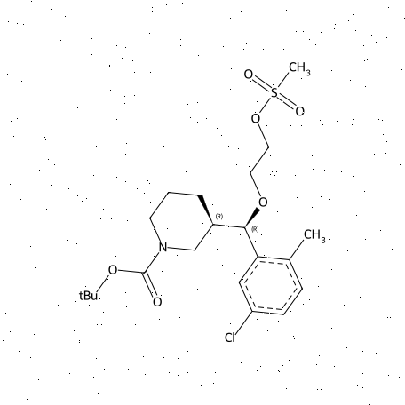 Cc1ccc(Cl)cc1[C@H](OCCOS(C)(=O)=O)[C@@H]1CCCN(C(=O)OC(C)(C)C)C1